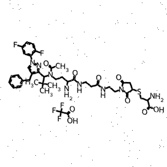 CC(=O)N(CCC(N)C(=O)NCCC(=O)NCCN1C(=O)CC(SCC(N)C(=O)O)C1=O)C(c1nn(-c2cc(F)ccc2F)cc1Cc1ccccc1)C(C)(C)C.O=C(O)C(F)(F)F